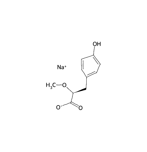 CO[C@@H](Cc1ccc(O)cc1)C(=O)[O-].[Na+]